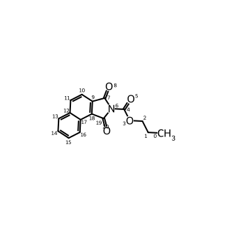 CCCOC(=O)N1C(=O)c2ccc3ccccc3c2C1=O